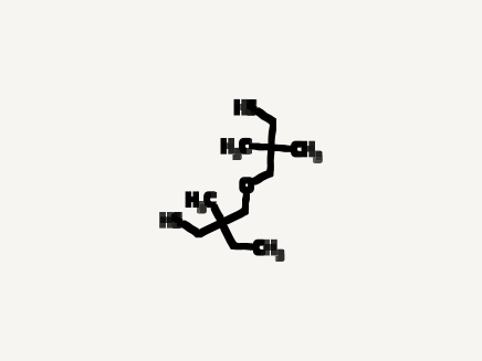 CCC(C)(CS)COCC(C)(C)CS